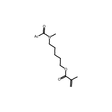 C=C(C)C(=O)OCCCCCN(C)C(=O)C(C)=O